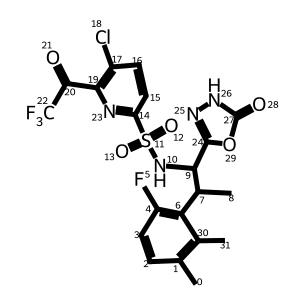 Cc1ccc(F)c(C(C)C(NS(=O)(=O)c2ccc(Cl)c(C(=O)C(F)(F)F)n2)c2n[nH]c(=O)o2)c1C